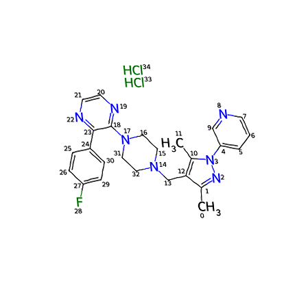 Cc1nn(-c2cccnc2)c(C)c1CN1CCN(c2nccnc2-c2ccc(F)cc2)CC1.Cl.Cl